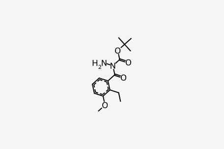 CCc1c(OC)cccc1C(=O)N(N)C(=O)OC(C)(C)C